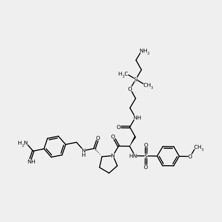 COc1ccc(S(=O)(=O)N[C@H](CC(=O)NCCO[Si](C)(C)CCN)C(=O)N2CCC[C@@H]2C(=O)NCc2ccc(C(=N)N)cc2)cc1